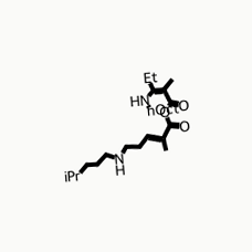 CCCCCCCCNC(CC)=C(C)C(=O)OC(=O)C(C)=CCCNCCCC(C)C